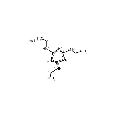 CCNc1nc(NCC)nc(NCC)n1.Cl